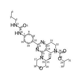 CCCNC(=O)Nc1ccc(-c2nc3c(c(N4CCOC[C@@H]4C)n2)CN(C(=O)OC(C)C)CC3)cc1